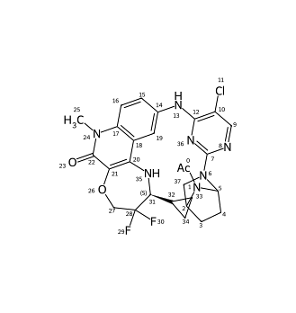 CC(=O)N1C2CCC1N(c1ncc(Cl)c(Nc3ccc4c(c3)c3c(c(=O)n4C)OCC(F)(F)[C@H](C4CC4)N3)n1)C2